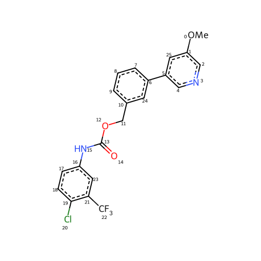 COc1cncc(-c2cccc(COC(=O)Nc3ccc(Cl)c(C(F)(F)F)c3)c2)c1